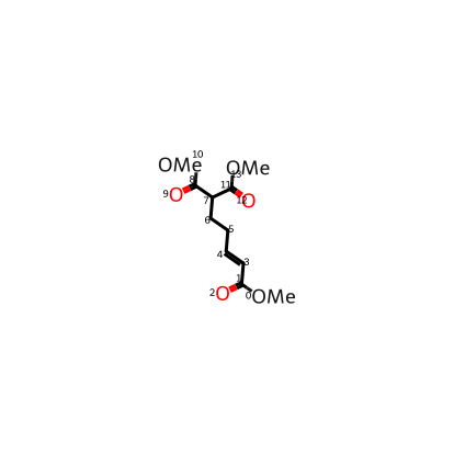 COC(=O)C=CCCC(C(=O)OC)C(=O)OC